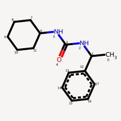 CC(NC(=O)NC1CCCCC1)c1ccccc1